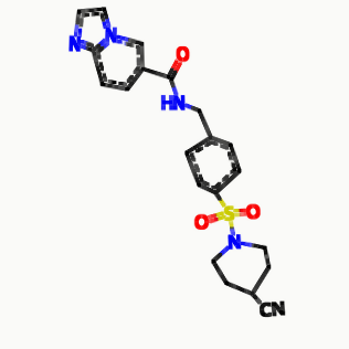 N#CC1CCN(S(=O)(=O)c2ccc(CNC(=O)c3ccc4nccn4c3)cc2)CC1